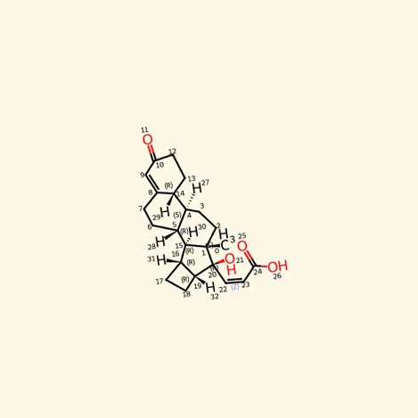 C[C@]12CC[C@H]3[C@@H](CCC4=CC(=O)CC[C@@H]43)[C@@H]1[C@H]1CC[C@H]1[C@@]2(O)/C=C\C(=O)O